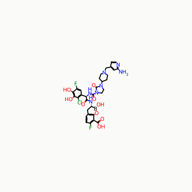 Nc1cc(CN2CCC(N3CCN(C(=O)N[C@@H](C(=O)N[C@H]4Cc5ccc(F)c(C(=O)O)c5OB4O)c4cc(F)c(O)c(O)c4Cl)C3=O)CC2)ccn1